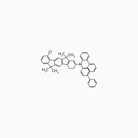 CC1(C)C2=C(CCC(N(c3ccc(-c4ccccc4)cc3)c3ccccc3-c3ccccc3)=C2)c2cc3c(cc21)-c1c(Cl)cccc1C3(C)C